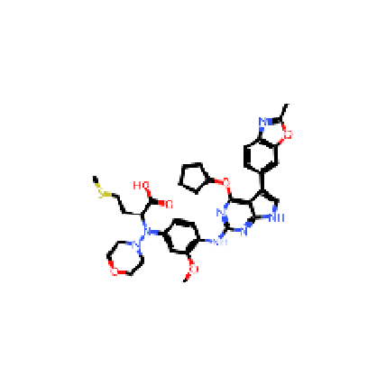 COc1cc(N([C@@H](CCSC)C(=O)O)N2CCOCC2)ccc1Nc1nc(OC2CCCC2)c2c(-c3ccc4nc(C)oc4c3)c[nH]c2n1